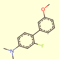 COc1cc[c]c(-c2ccc(N(C)C)cc2F)c1